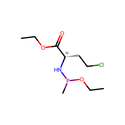 CCOC(=O)[C@H](CCCl)NP(C)OCC